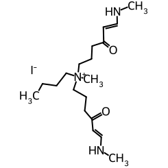 CCCC[N+](C)(CCCC(=O)C=CNC)CCCC(=O)C=CNC.[I-]